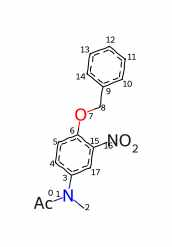 CC(=O)N(C)c1ccc(OCc2ccccc2)c([N+](=O)[O-])c1